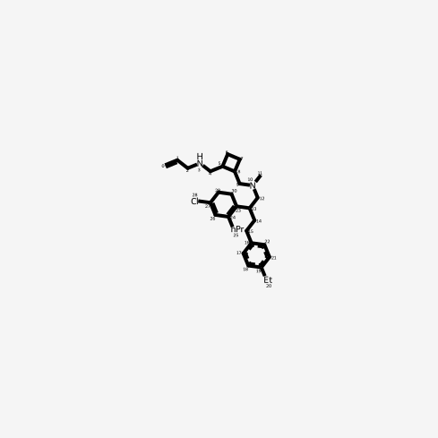 C=CCNCC1CCC1CN(C)CC(CCc1ccc(CC)cc1)C1=C(CCC)C=C(Cl)CC1